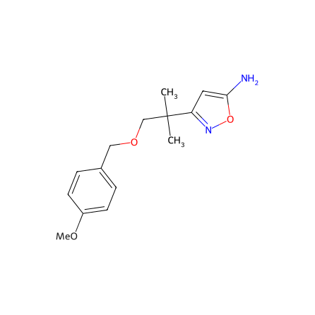 COc1ccc(COCC(C)(C)c2cc(N)on2)cc1